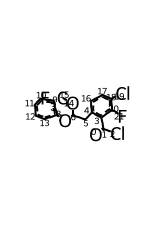 O=C(Cl)c1c(CC(Oc2ccccc2)OC(F)(F)F)ccc(Cl)c1F